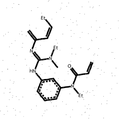 C=CC(=O)N(CC)c1cccc(N/C(=N/C(=C)/C=C\CC)N(C)CC)c1